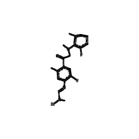 CCN(C)C=Nc1cc(C)c(C(=O)CN(C)c2c(C)cccc2F)cc1F